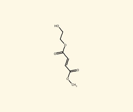 COC(=O)C=CC(=O)OCCO